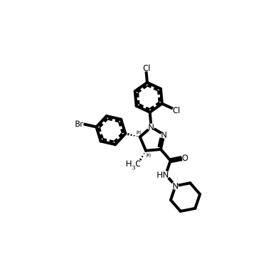 C[C@H]1C(C(=O)NN2CCCCC2)=NN(c2ccc(Cl)cc2Cl)[C@H]1c1ccc(Br)cc1